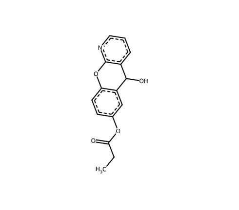 CCC(=O)Oc1ccc2c(c1)C(O)c1cccnc1O2